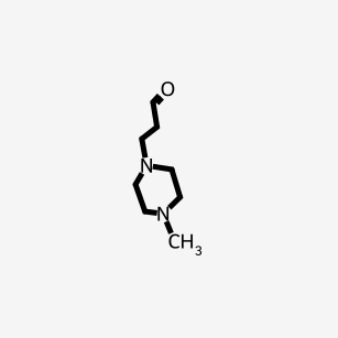 CN1CCN(CCC=O)CC1